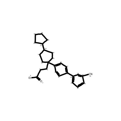 CCC(=O)CCC1(c2ccc(-c3cccc(C#N)c3)cc2)CCC(C2CCCC2)CC1